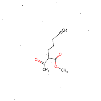 C#CCCCC(C(C)=O)C(=O)OC